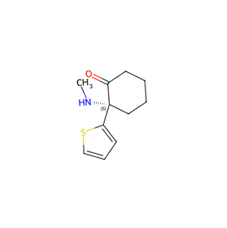 CN[C@@]1(c2cccs2)CCCCC1=O